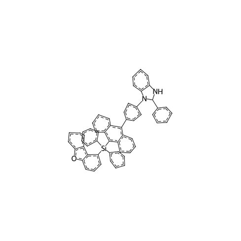 c1ccc(C2Nc3ccccc3N2c2ccc(-c3c4ccccc4c([Si](c4ccccc4)(c4ccccc4)c4cccc5oc6ccccc6c45)c4ccccc34)cc2)cc1